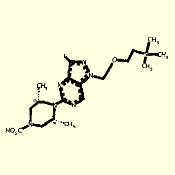 C[C@@H]1CN(C(=O)O)C[C@H](C)N1c1ncc2c(n1)c(I)nn2COCC[Si](C)(C)C